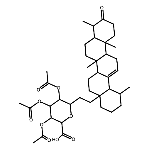 CC(=O)OC1C(CCC23CCCC(C)C2C2=CCC4C(C)(CCC5C(C)C(=O)CCC54C)C2CC3)OC(C(=O)O)C(OC(C)=O)C1OC(C)=O